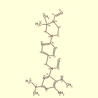 CNc1c(N)nc(P(C)C)nc1N(C=O)Cc1ccc(N2CCN(C=O)C(C)(C)C2)nc1